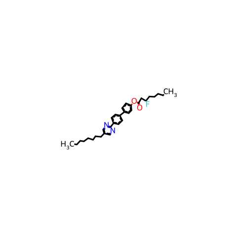 CCCCCCCCc1cnc(-c2ccc(-c3ccc(OC(=O)CC(F)CCCCC)cc3)cc2)nc1